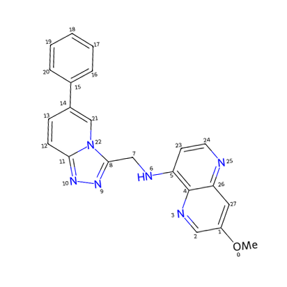 COc1cnc2c(NCc3nnc4ccc(-c5ccccc5)cn34)ccnc2c1